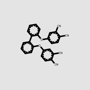 N#Cc1ccc(Oc2ccccc2-c2ccccc2Oc2ccc(C#N)c(C#N)c2)cc1C#N